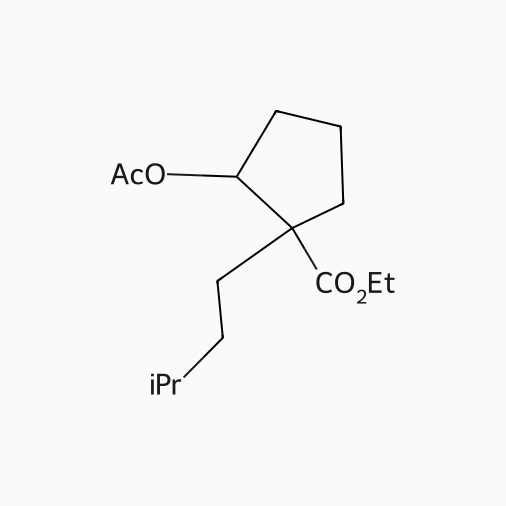 CCOC(=O)C1(CCC(C)C)CCCC1OC(C)=O